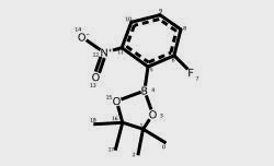 CC1(C)OB(c2c(F)cccc2[N+](=O)[O-])OC1(C)C